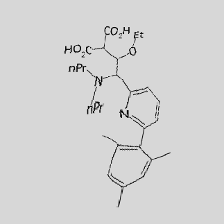 CCCN(CCC)C(c1cccc(-c2c(C)cc(C)cc2C)n1)C(OCC)C(C(=O)O)C(=O)O